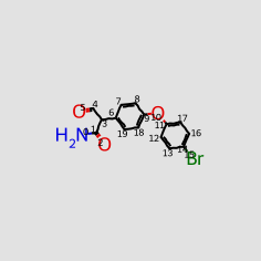 NC(=O)C(C=O)c1ccc(Oc2ccc(Br)cc2)cc1